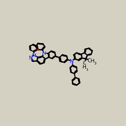 CC1(C)c2ccccc2-c2ccc(N(c3ccc(-c4ccccc4)cc3)c3ccc(-c4ccc5c(c4)c4ccc6cnn(-c7ccccc7)c6c4n5-c4ccccc4)cc3)cc21